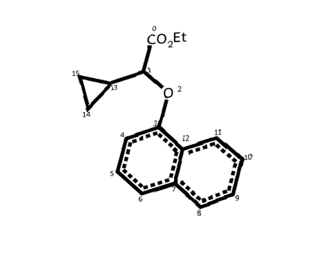 CCOC(=O)C(Oc1cccc2ccccc12)C1CC1